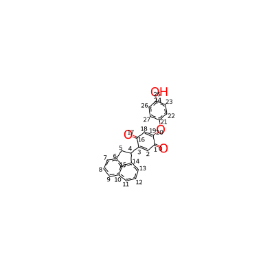 O=C1C=C(C2Cc3cccc4cccc2c34)C(=O)C=C1Oc1ccc(O)cc1